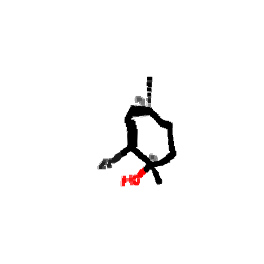 CCC1=C[C@H](C)CC[C@]1(C)O